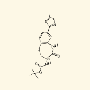 Cc1nc(-c2ccc3c(c2)NC(=O)[C@H](NC(=O)OC(C)(C)C)CO3)no1